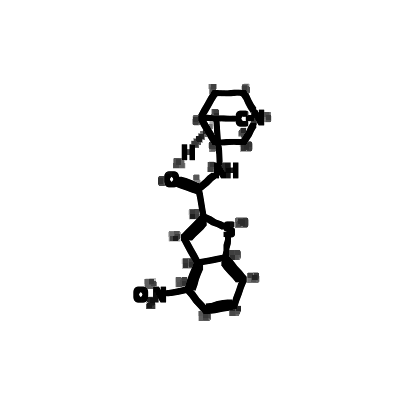 O=C(N[C@@H]1CN2CCC1CC2)c1cc2c([N+](=O)[O-])cccc2s1